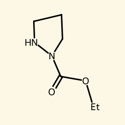 CCOC(=O)N1CCCN1